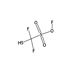 O=S(=O)(OF)C(F)(F)S